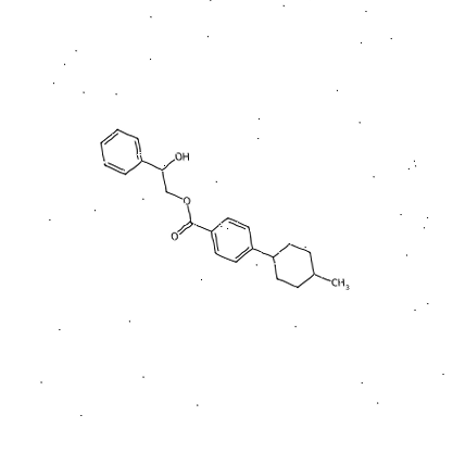 CC1CCC(c2ccc(C(=O)OCC(O)c3ccccc3)cc2)CC1